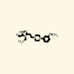 CCN1C(CCN2CCN(c3cccc(OC)c3)CC2)=NNC1C=O